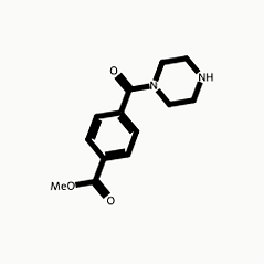 COC(=O)c1ccc(C(=O)N2CCNCC2)cc1